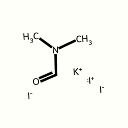 CN(C)C=O.[I+].[I-].[I-].[K+]